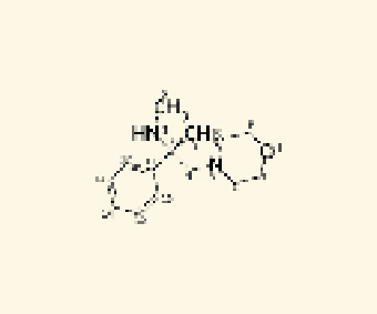 CN[C@](C)(CN1CCOCC1)c1ccccc1